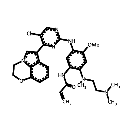 C=CC(=O)Nc1cc(Nc2ncc(Cl)c(-c3cn4c5c(cccc35)OCC4)n2)c(OC)cc1N(C)CCN(C)C